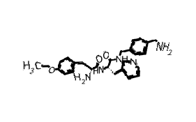 CCOc1ccc(C[C@@H](N)C(=O)N[C@@H](Cc2cccnc2)C(=O)NCc2ccc(CN)cc2)cc1